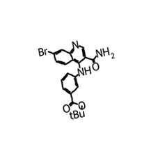 CC(C)(C)OC(=O)c1cccc(Nc2c(C(N)=O)cnc3cc(Br)ccc23)c1